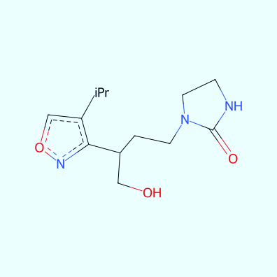 CC(C)c1conc1C(CO)CCN1CCNC1=O